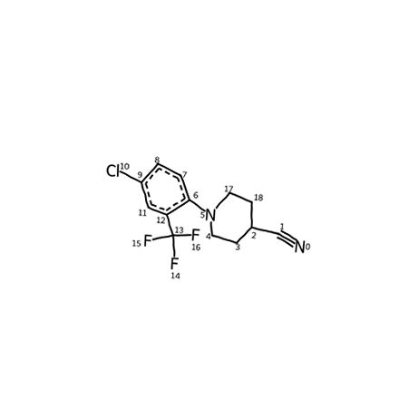 N#CC1CCN(c2ccc(Cl)cc2C(F)(F)F)CC1